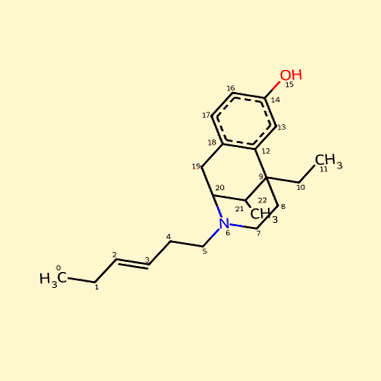 CC/C=C/CCN1CCC2(CC)c3cc(O)ccc3CC1C2C